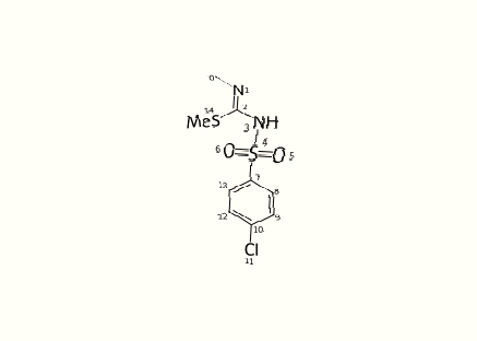 C/N=C(/NS(=O)(=O)c1ccc(Cl)cc1)SC